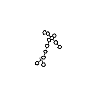 c1ccc(-c2ccc(-c3c4ccccc4c(-c4ccc5ccccc5c4)c4ccc(-c5ccc(-c6ccc(-c7ccc8c(c7)nc(-c7ccccc7)n8-c7ccccc7)cc6)cc5)cc34)cc2)cc1